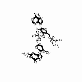 C#S[P@@](=O)(OC)OCC1O[C@@H](n2cnc3c(N)ncnc32)[C@H](F)[C@@H]1OP(=O)(S)OC[C@@H]1C[C@@H](O)[C@H](n2cnc3c(=O)[nH]c(N)nc32)O1